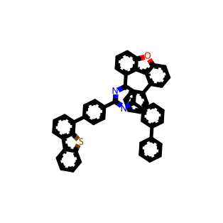 c1ccc(-c2cccc(-c3cc(-c4cccc5oc6cccc(-c7ccccc7)c6c45)nc(-c4ccc(-c5cccc6c5sc5ccccc56)cc4)n3)c2)cc1